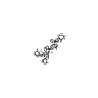 C[C@H](NC(=O)[C@H](Cc1ccccc1)NC(=O)c1ccccc1)C(=O)NCC(=O)C(=O)NCc1ccccc1